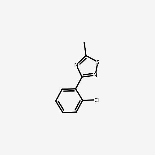 Cc1nc(-c2ccccc2Cl)ns1